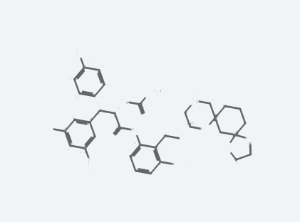 COC(=O)N[C@H](C(=O)Nc1cccc(F)c1CC[C@@H]1CNCC2(CCCC3(C2)OCCO3)O1)[C@@H](c1ccc(F)cc1)c1cc(F)cc(F)c1